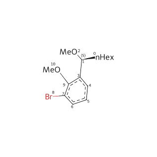 CCCCCC[C@H](OC)c1cccc(Br)c1OC